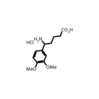 COc1ccc(C(N)CCCC(=O)O)cc1OC.Cl